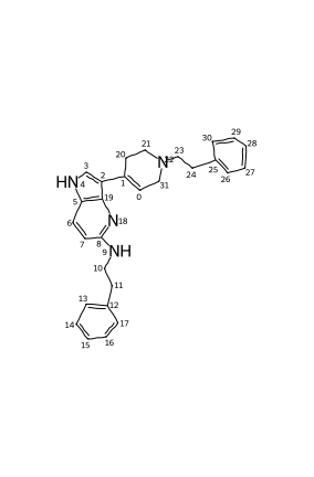 C1=C(c2c[nH]c3ccc(NCCc4ccccc4)nc23)CCN(CCc2ccccc2)C1